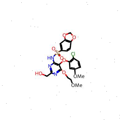 COCCOc1nc(CO)nc(NS(=O)(=O)c2ccc3c(c2)OCO3)c1Oc1cc(OC)ccc1Cl